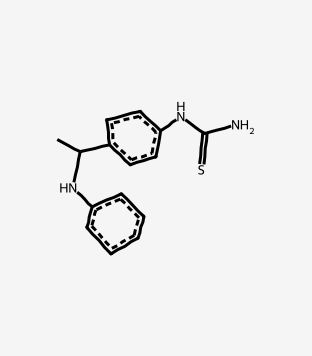 CC(Nc1ccccc1)c1ccc(NC(N)=S)cc1